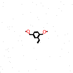 C=Cc1cc(COC)ccc1COC